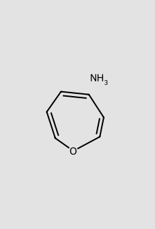 C1=CC=COC=C1.N